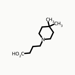 CC1(C)CCN(CCCC(=O)O)CC1